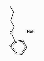 CCCCOc1ccccc1.[NaH]